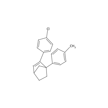 Cc1ccc(C23CCC([C]=C2c2ccc(Cl)cc2)C3)cc1